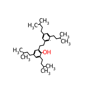 CC(C)CCc1[c]c(CCc2cc(CCC(C)C)cc(CCC(C)C)c2O)cc(CCC(C)C)c1